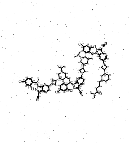 CC(C)N1CC(C[C@H](c2ccc(Cl)cc2Cl)n2nc(C#N)c3ncc(N4CC([C@H]5CCCN(CCCC(=O)N(C)C)C5)C4)nc32)C[C@@H](C2CN(c3cnc4c(C#N)nn([C@H](CC5C[C@H](C6CN(c7cnc8c(C#N)nn([C@H](C)c9ccc(Cl)cc9Cl)c8n7)C6)CN(C(C)C)C5)c5ccc(Cl)cc5Cl)c4n3)C2)C1